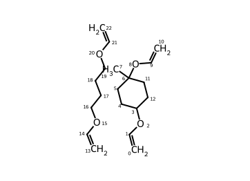 C=COC1CCC(C)(OC=C)CC1.C=COCCCCOC=C